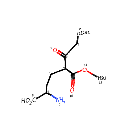 CCCCCCCCCCCC(=O)C(CC(N)C(=O)O)C(=O)OC(C)(C)C